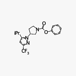 CC(C)c1cc(C(F)(F)F)nn1C1CCN(C(=O)Oc2ccccc2)C1